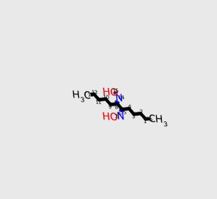 CCCCCC(=NO)C(CCCCC)=NO